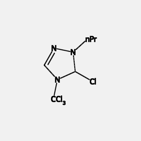 CCCN1N=CN(C(Cl)(Cl)Cl)C1Cl